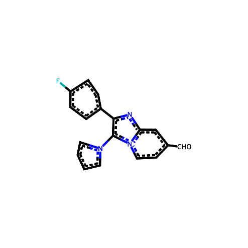 O=Cc1ccn2c(-n3cccc3)c(-c3ccc(F)cc3)nc2c1